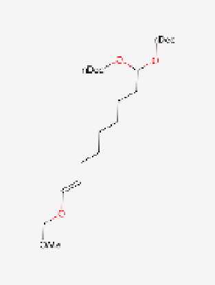 CCCCCCCCCCOC(CCCCCCC=COCOC)OCCCCCCCCCC